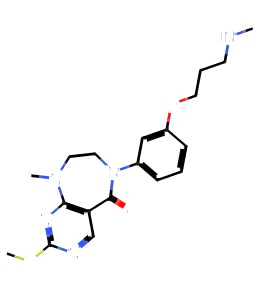 CNCCCOc1cccc(N2CCN(C)c3nc(SC)ncc3C2=O)c1